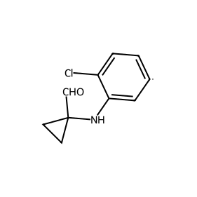 O=CC1(Nc2c[c]ccc2Cl)CC1